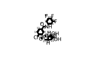 O=C(Nc1cc(F)c(F)c(F)c1)c1ccc(Cl)c(S(=O)(=O)C[C@@H]2C3CC2[C@H](O)[C@@H]3O)c1